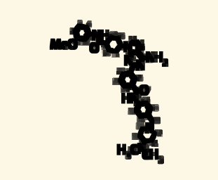 COc1cccc(NC(=O)C2CCC(n3cnc4c(N)nc(-c5cccc(C(=O)Nc6ccc(CN7CCC(N(C)C)CC7)cc6)c5)nc43)CC2)c1